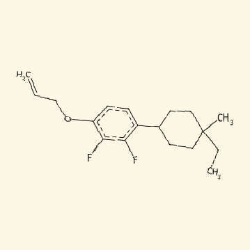 C=CCOc1ccc(C2CCC(C)(CC)CC2)c(F)c1F